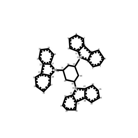 c1ccc2c(c1)c1ccccc1n2C1CC(n2c3ccccc3c3ccccc32)CC(n2c3ccccc3c3ccccc32)C1